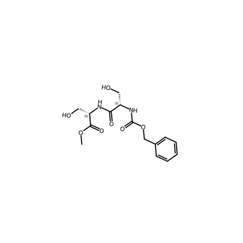 COC(=O)[C@H](CO)NC(=O)[C@H](CO)NC(=O)OCc1ccccc1